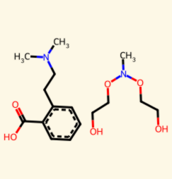 CN(C)CCc1ccccc1C(=O)O.CN(OCCO)OCCO